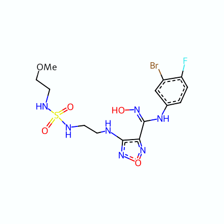 COCCNS(=O)(=O)NCCNc1nonc1C(=NO)Nc1ccc(F)c(Br)c1